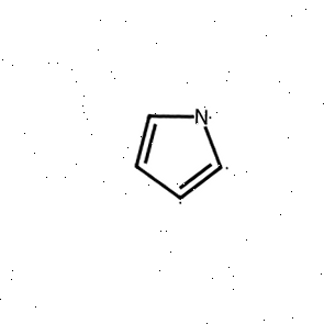 [C]1=[C][N]C=C1